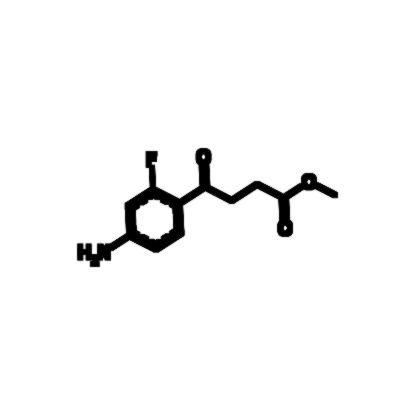 COC(=O)CCC(=O)c1ccc(N)cc1F